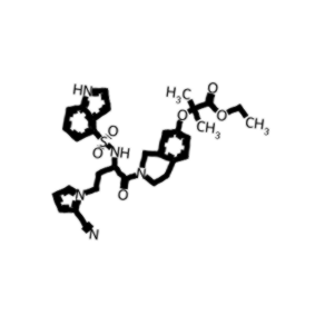 CCOC(=O)C(C)(C)Oc1ccc2c(c1)CN(C(=O)C(CCn1cccc1C#N)NS(=O)(=O)c1cccc3[nH]ccc13)CC2